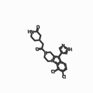 O=C1CC(CC(=O)N2CCn3c(c(-c4cn[nH]c4)c4ccc(Cl)c(Cl)c43)C2)CCN1